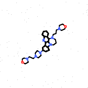 c1ccc2c3c4c(nc2c1)c1cc(N2CCN(CCN5CCOCC5)CC2)ccc1n4CCCN3CCCN1CCOCC1